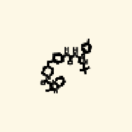 Cc1ccc(-n2nc(C(C)(C)C)cc2NC(=O)Nc2ccc(CC3CCN(C(=O)c4c(C)nc5ccccn45)CC3)cc2)cc1